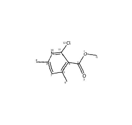 COC(=O)c1c(C)cc(C)nc1Cl